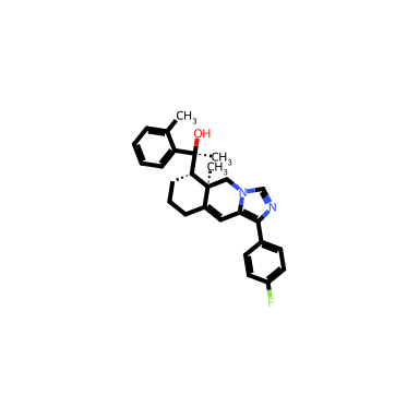 Cc1ccccc1[C@@](C)(O)[C@H]1CCCC2=Cc3c(-c4ccc(F)cc4)ncn3C[C@@]21C